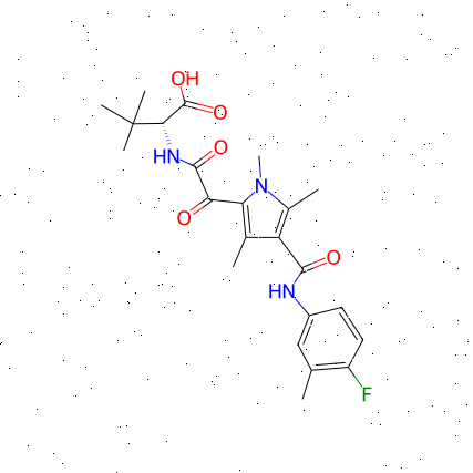 Cc1cc(NC(=O)c2c(C)c(C(=O)C(=O)N[C@@H](C(=O)O)C(C)(C)C)n(C)c2C)ccc1F